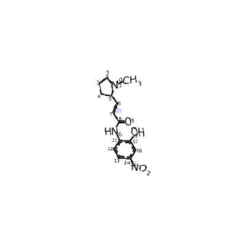 CN1CCCC1/C=C/C(=O)Nc1ccc([N+](=O)[O-])cc1O